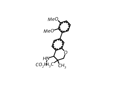 COc1cccc(-c2ccc3c(c2)OCC(C)(C)C3NC(=O)O)c1OC